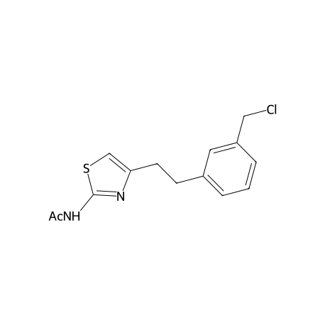 CC(=O)Nc1nc(CCc2cccc(CCl)c2)cs1